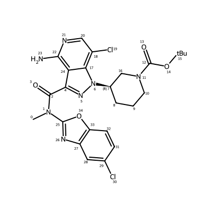 CN(C(=O)c1nn([C@@H]2CCCN(C(=O)OC(C)(C)C)C2)c2c(Cl)cnc(N)c12)c1nc2cc(Cl)ccc2o1